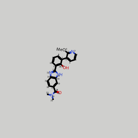 COc1ncccc1-c1cccc(-c2nc3ccc(C(=O)N(C)C)cc3[nH]2)c1O